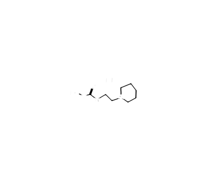 COC(=O)NCCN1CCCCC1.Cl